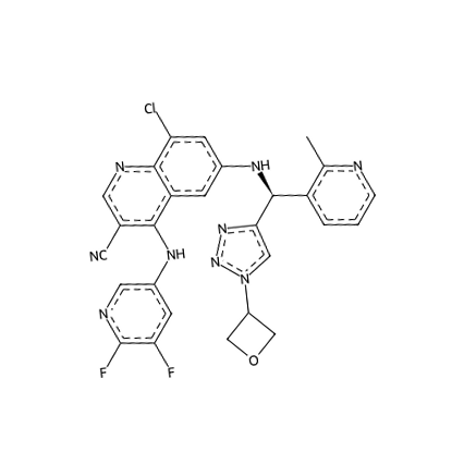 Cc1ncccc1[C@H](Nc1cc(Cl)c2ncc(C#N)c(Nc3cnc(F)c(F)c3)c2c1)c1cn(C2COC2)nn1